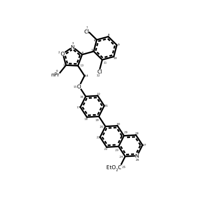 CCCc1onc(-c2c(Cl)cccc2Cl)c1COc1ccc(-c2ccc3c(C(=O)OCC)nccc3c2)cc1